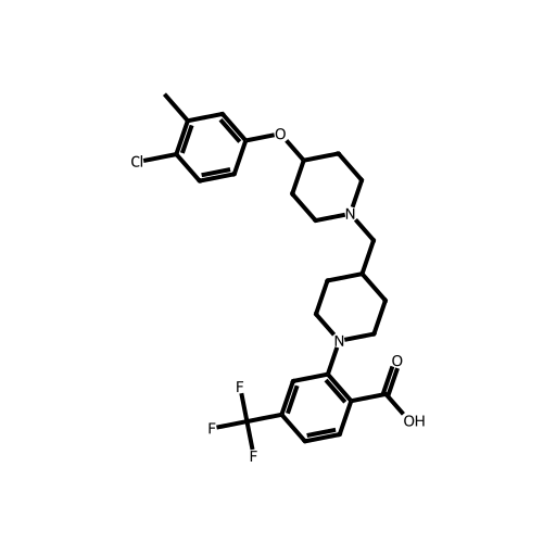 Cc1cc(OC2CCN(CC3CCN(c4cc(C(F)(F)F)ccc4C(=O)O)CC3)CC2)ccc1Cl